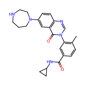 Cc1ccc(C(=O)NC2CC2)cc1-n1cnc2ccc(N3CCCNCC3)cc2c1=O